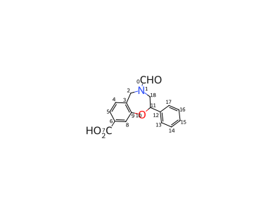 O=CN1Cc2ccc(C(=O)O)cc2OC(c2ccccc2)C1